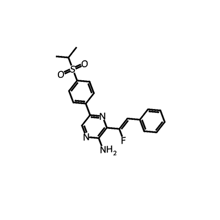 CC(C)S(=O)(=O)c1ccc(-c2cnc(N)c(C(F)=Cc3ccccc3)n2)cc1